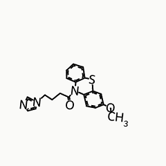 COc1ccc2c(c1)Sc1ccccc1N2C(=O)CCCn1ccnc1